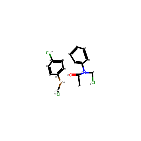 CC(=O)N(CCl)c1ccccc1.ClCSc1ccc(Cl)cc1